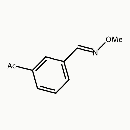 CON=Cc1cccc(C(C)=O)c1